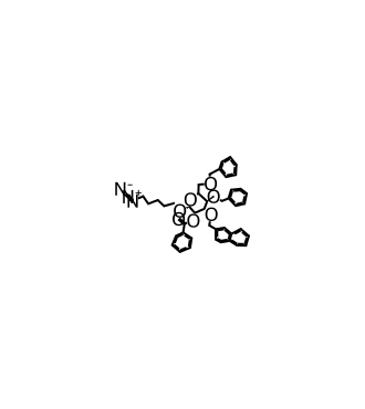 [N-]=[N+]=NCCCCCO[C@H]1OC(COCc2ccccc2)[C@@H](OCc2ccccc2)C(OCc2ccc3ccccc3c2)C1OC(=O)c1ccccc1